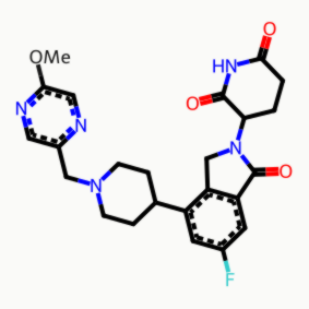 COc1cnc(CN2CCC(c3cc(F)cc4c3CN(C3CCC(=O)NC3=O)C4=O)CC2)cn1